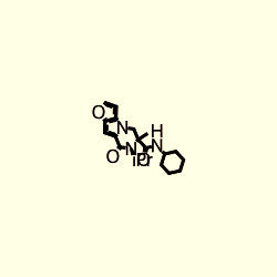 CC(C)N1C(=O)c2cc3occc3n2CC1(C)C(=O)NC1CCCCC1